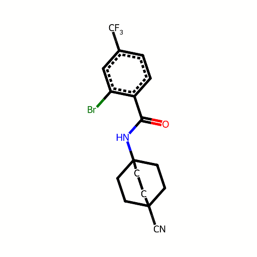 N#CC12CCC(NC(=O)c3ccc(C(F)(F)F)cc3Br)(CC1)CC2